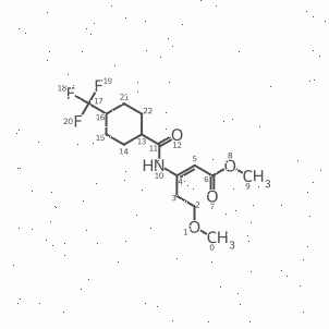 COCCC(=CC(=O)OC)NC(=O)C1CCC(C(F)(F)F)CC1